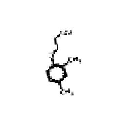 Cc1ccc(OCCC(C)(C)C)c(C)c1